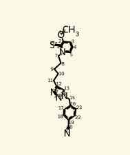 COc1cccn(CCCCCc2cn(Cc3ccc(C#N)cc3)nn2)c1=S